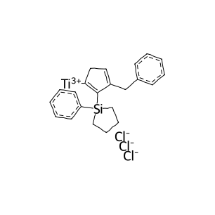 [Cl-].[Cl-].[Cl-].[Ti+3][C]1=C([Si]2(c3ccccc3)CCCC2)C(Cc2ccccc2)=CC1